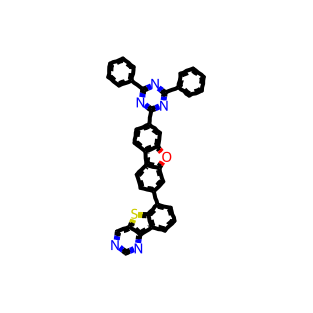 c1ccc(-c2nc(-c3ccccc3)nc(-c3ccc4c(c3)oc3cc(-c5cccc6c5sc5cncnc56)ccc34)n2)cc1